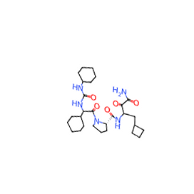 NC(=O)C(=O)C(CC1CCC1)NC(=O)[C@@H]1CCCN1C(=O)C(NC(=O)NC1CCCCC1)C1CCCCC1